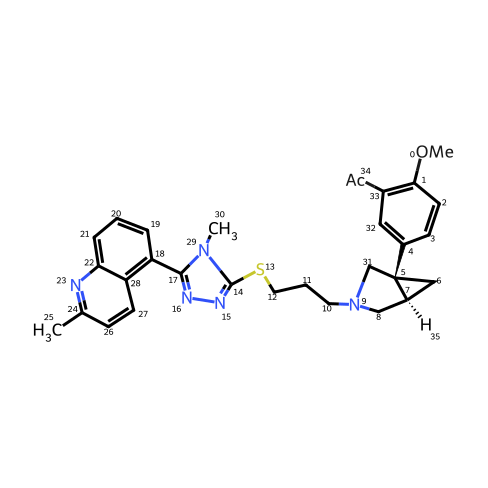 COc1ccc([C@@]23C[C@H]2CN(CCCSc2nnc(-c4cccc5nc(C)ccc45)n2C)C3)cc1C(C)=O